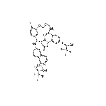 CCOc1cc(C(Nc2ccc3c(N)nccc3c2)c2nc(-c3ccccc3C(N)=O)c[nH]2)ccc1F.O=C(O)C(F)(F)F.O=C(O)C(F)(F)F